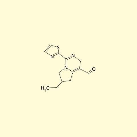 CCC1CC2=C(C=O)CN=C(c3nccs3)N2C1